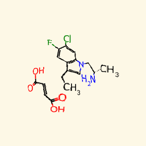 CCc1cn(C[C@H](C)N)c2cc(Cl)c(F)cc12.O=C(O)/C=C/C(=O)O